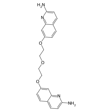 Nc1ccc2ccc(OCCOCCOc3ccc4ccc(N)nc4c3)cc2n1